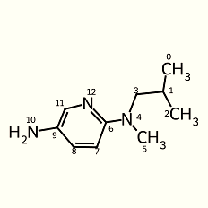 CC(C)CN(C)c1ccc(N)cn1